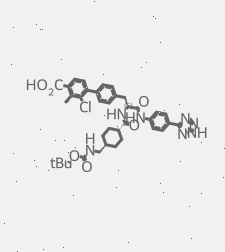 Cc1c(C(=O)O)ccc(-c2ccc(C[C@H](NC(=O)[C@H]3CC[C@H](CNC(=O)OC(C)(C)C)CC3)C(=O)Nc3ccc(-c4nn[nH]n4)cc3)cc2)c1Cl